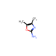 Cc1oc(N)nc1C(F)(F)F